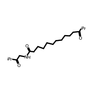 CC(C)C(=O)CCCCCCCCCCC(=O)NCC(=O)C(C)C